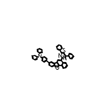 c1ccc(-c2nc(-c3cc4c5cc(-c6ccc(N(c7ccccc7)c7ccccc7)cc6)ccc5oc4c4ccccc34)nc3c2sc2ccccc23)cc1